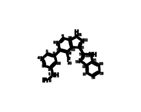 CC(C)Nc1cncc(-c2ncc3[nH]nc(-c4nc5ccccc5[nH]4)c3c2F)c1